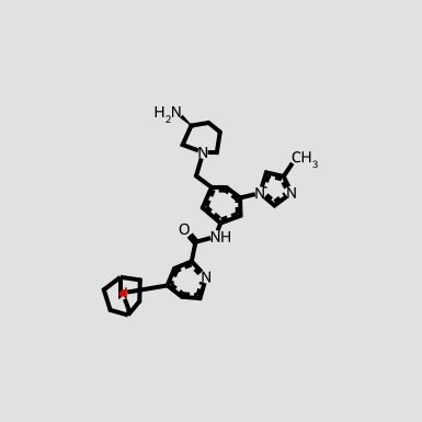 Cc1cn(-c2cc(CN3CCC[C@H](N)C3)cc(NC(=O)c3cc(N4CC5CCC(CC5)C4)ccn3)c2)cn1